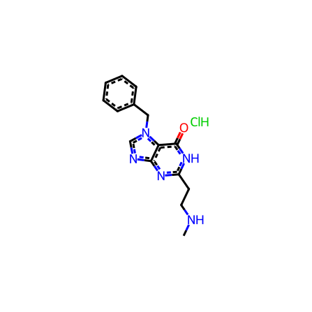 CNCCc1nc2ncn(Cc3ccccc3)c2c(=O)[nH]1.Cl